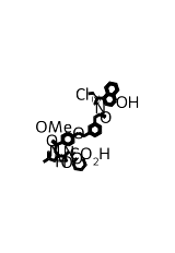 COc1cc2c(cc1OCc1cccc(CC(=O)N3C[C@@H](CCl)c4c3cc(O)c3ccccc43)c1)N(C(=O)O)C(OC1CCCCO1)[C@@H]1CC(C)=CN1C2=O